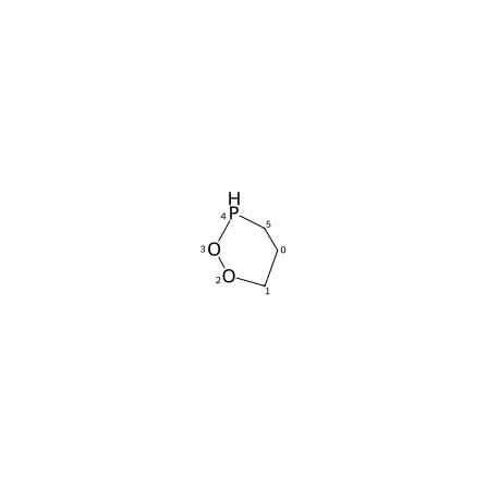 C1COOPC1